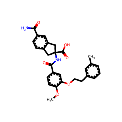 COc1ccc(C(=O)NC2(C(=O)O)Cc3ccc(C(N)=O)cc3C2)cc1OCCc1cccc(C)c1